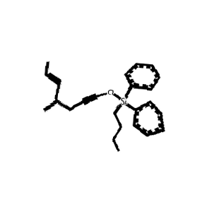 C/C=C/C(C)CC#CO[Si](CCCC)(c1ccccc1)c1ccccc1